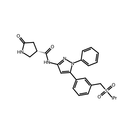 CC(C)S(=O)(=O)Cc1cccc(-c2cc(NC(=O)[C@@H]3CNC(=O)C3)nn2-c2ccccc2)c1